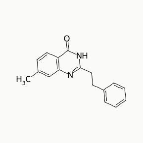 Cc1ccc2c(=O)[nH]c(CCc3ccccc3)nc2c1